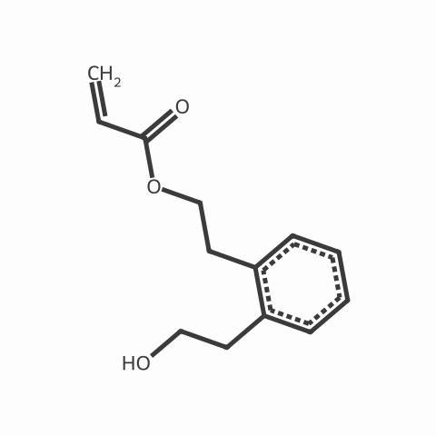 C=CC(=O)OCCc1ccccc1CCO